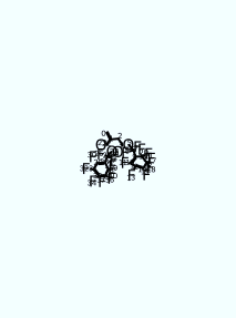 C=C(CC(=O)OC(F)(F)C1=C(F)C(F)=C(F)C(F)(F)C1(F)F)C(=O)OC(F)(F)C1=C(F)C(F)=C(F)C(F)(F)C1(F)F